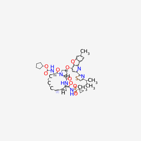 Cc1ccc2c(c1)oc1c(O[C@@H]3C[C@H]4C(=O)N[C@]5(C(=O)NS(=O)(=O)C6(C)CC6)C[C@H]5/C=C\CCCCC[C@H](NC(=O)OC5CCCC5)C(=O)N4C3)cc(-c3nc(C(C)C)cs3)nc12